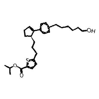 CC(C)OC(=O)c1ccc(CCC[C@H]2CCC=C2c2ccc(CCCCCCO)cc2)s1